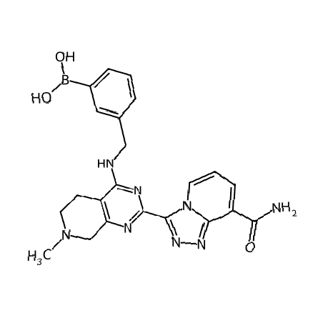 CN1CCc2c(nc(-c3nnc4c(C(N)=O)cccn34)nc2NCc2cccc(B(O)O)c2)C1